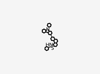 c1ccc(C2Nc3c(ccc4ccc5cc(-c6ccc7c(c6)c6ccccc6n7-c6ccccc6)ccc5c34)S2)cc1